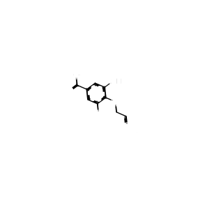 C=CCOc1c(C)cc(C(=O)O)cc1C.Cl